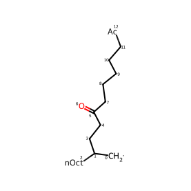 [CH2]C(CCCCCCCC)CCC(=O)CCCCCC(C)=O